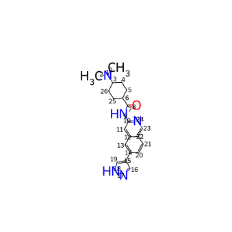 CN(C)C1CCC(C(=O)Nc2cc3cc(-c4cn[nH]c4)ccc3cn2)CC1